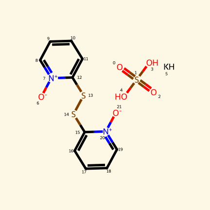 O=S(=O)(O)O.[KH].[O-][n+]1ccccc1SSc1cccc[n+]1[O-]